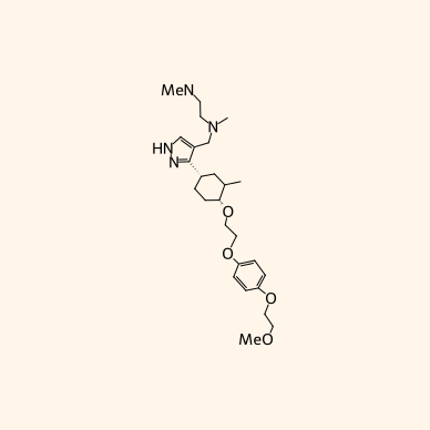 CNCCN(C)Cc1c[nH]nc1[C@H]1CC[C@@H](OCCOc2ccc(OCCOC)cc2)C(C)C1